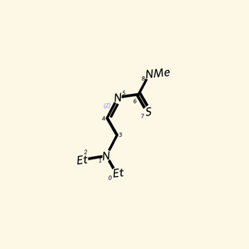 CCN(CC)C/C=N\C(=S)NC